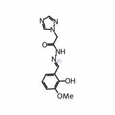 COc1cccc(/C=N/NC(=O)Cn2cncn2)c1O